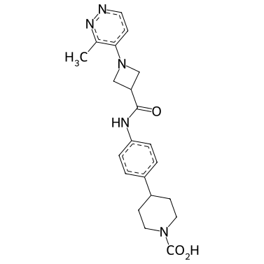 Cc1nnccc1N1CC(C(=O)Nc2ccc(C3CCN(C(=O)O)CC3)cc2)C1